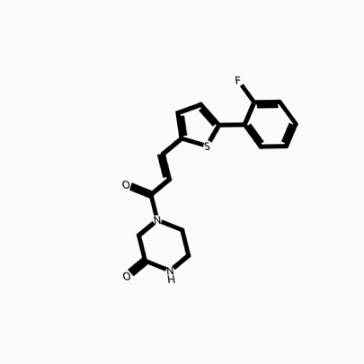 O=C1CN(C(=O)C=Cc2ccc(-c3ccccc3F)s2)CCN1